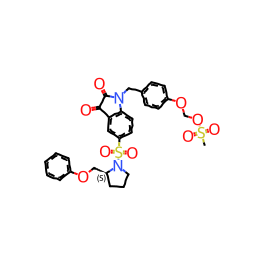 CS(=O)(=O)OCOc1ccc(CN2C(=O)C(=O)c3cc(S(=O)(=O)N4CCC[C@H]4COc4ccccc4)ccc32)cc1